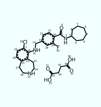 O=C(NC1CCCCCC1)c1ccc(CNc2c(Cl)ccc3c2CCNCC3)cc1F.O=C(O)CCC(=O)O